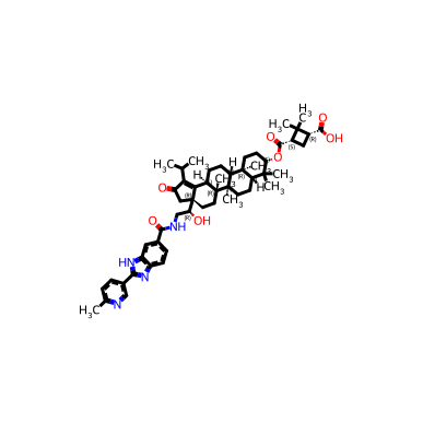 Cc1ccc(-c2nc3ccc(C(=O)NC[C@H](O)[C@@]45CC[C@]6(C)[C@H](CC[C@@H]7[C@@]8(C)CC[C@H](OC(=O)[C@H]9C[C@@H](C(=O)O)C9(C)C)C(C)(C)[C@@H]8CC[C@]76C)C4=C(C(C)C)C(=O)C5)cc3[nH]2)cn1